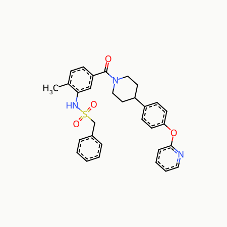 Cc1ccc(C(=O)N2CCC(c3ccc(Oc4ccccn4)cc3)CC2)cc1NS(=O)(=O)Cc1ccccc1